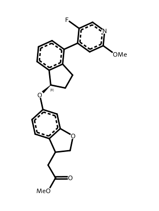 COC(=O)CC1COc2cc(O[C@@H]3CCc4c(-c5cc(OC)ncc5F)cccc43)ccc21